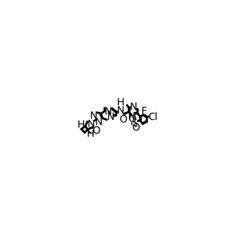 Cc1nc(N2C[C@H]3CC[C@H]3C2=O)ncc1C(C)n1cc(NC(=O)c2nc(-c3c(S(C)(=O)=O)ccc(Cl)c3F)cnc2C)cn1